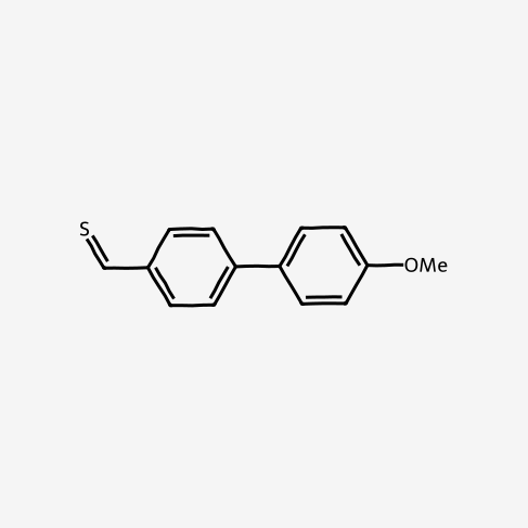 COc1ccc(-c2ccc(C=S)cc2)cc1